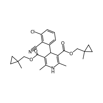 CC1=C(C(=O)OCC2(C)CC2)C(c2cccc(Cl)c2C#N)C(C(=O)OCC2(C)CC2)=C(C)N1